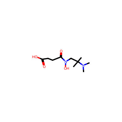 CN(C)C(C)(C)CN(O)C(=O)CCC(=O)O